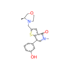 C[C@H]1COCCN1Cc1cc2c(=O)n(C)cc(-c3cccc(O)c3)c2s1